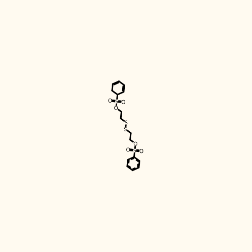 O=S(=O)(OCCSSCCOS(=O)(=O)C1C=CC=CC1)c1ccccc1